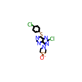 [O-][S+]1CCN(c2nc(Cl)nc3c(Sc4ccc(Cl)cc4)ncnc23)CC1